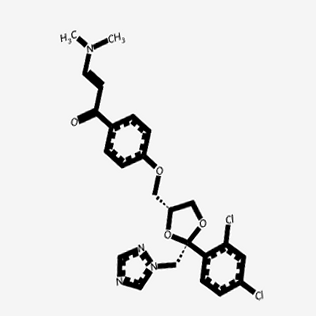 CN(C)C=CC(=O)c1ccc(OC[C@@H]2CO[C@@](Cn3cncn3)(c3ccc(Cl)cc3Cl)O2)cc1